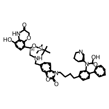 CC(C)(C)[Si](C)(C)O[C@@H](CNCc1ccc2c(c1)oc(=O)n2CCCCc1ccc(-c2ccccc2)c(N(C(=O)O)C2CN3CCC2CC3)c1)c1ccc(O)c2c1OCC(=O)N2